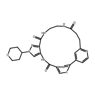 O=C1CCc2cc(ccn2)-c2nc(cs2)C(=O)Nc2cn(C3CCOCC3)nc2C(=O)NCCN1